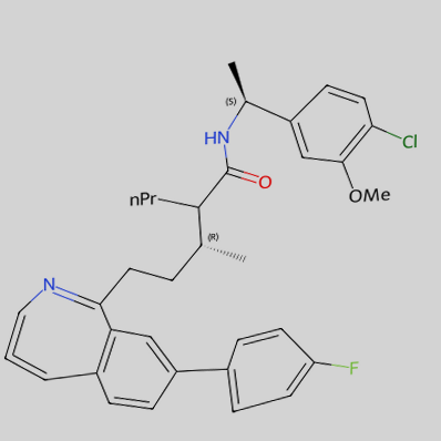 CCCC(C(=O)N[C@@H](C)c1ccc(Cl)c(OC)c1)[C@H](C)CCC1=NC=C=Cc2ccc(-c3ccc(F)cc3)cc21